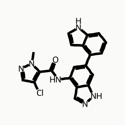 Cn1ncc(Cl)c1C(=O)Nc1cc(-c2cccc3[nH]ccc23)cc2[nH]ncc12